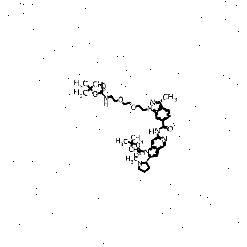 Cc1nn(CCOCCOCCNC(=O)OC(C)(C)C)c2cc(C(=O)Nc3cc4c(cn3)cc([C@H]3CCCN3C)n4C(=O)OC(C)(C)C)ccc12